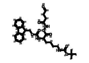 CC(C)(C)OC(=O)NCCCCC(NC(=O)OCC1c2ccccc2-c2ccccc21)C(=O)ONC(=O)CCC=O